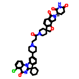 O=C1CC[C@H](N2Cc3c(ccc4c3OCC43CCN(C(=O)CCN4CCC(c5ccc6c(c5)-n5c(nc(=O)c7c(Cl)cccc75)C65CCCCC5)CC4)CC3)C2=O)C(=O)N1